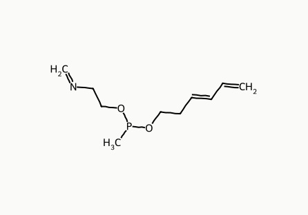 C=C/C=C/CCOP(C)OCCN=C